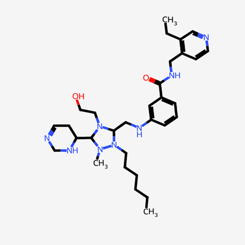 CCCCCCN1C(CNc2cccc(C(=O)NCc3ccncc3CC)c2)N(CCO)C(C2CC=NCN2)N1C